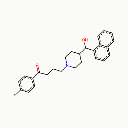 O=C(CCCN1CCC(C(O)c2cccc3ccccc23)CC1)c1ccc(F)cc1